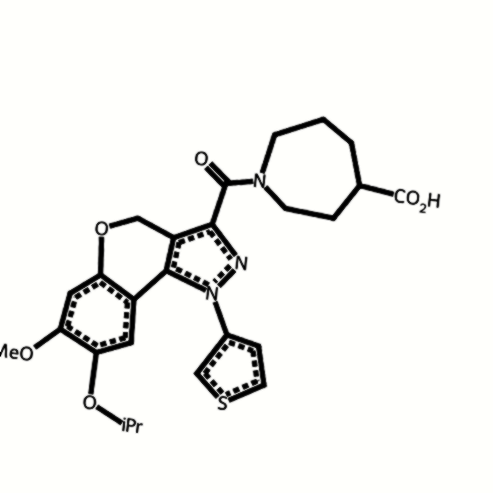 COc1cc2c(cc1OC(C)C)-c1c(c(C(=O)N3CCCC(C(=O)O)CC3)nn1-c1ccsc1)CO2